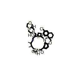 C[C@@H]1CS(=O)(=O)NC(=O)c2ccc3c(c2)N(C[C@@H]2CC[C@H]2[C@](O)(CN2CCN4CCOC[C@@H]4C2)/C=C/[C@@H]1C)C[C@@]1(CCCc2cc(Cl)ccc21)CO3